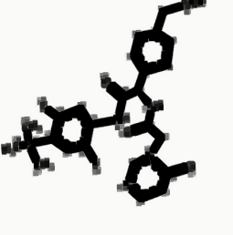 COCc1ccc([C@@H](NC(=O)Cn2cnccc2=O)C(=O)Nc2cc(F)c(S(C)(C)C)cc2F)cc1